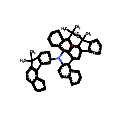 CC(C)(C)c1ccc(N(c2ccc3c(c2)-c2c(ccc4ccccc24)C3(C)C)c2ccc3ccccc3c2-c2ccc3c(c2)-c2ccccc2C3(C)C)c2ccccc12